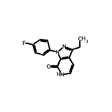 CCc1nn(-c2ccc(F)cc2)c2c(=O)[nH]ccc12